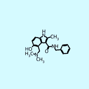 Cc1[nH]c2ccc(O)c(CN(C)C)c2c1C(=O)NCc1ccccc1